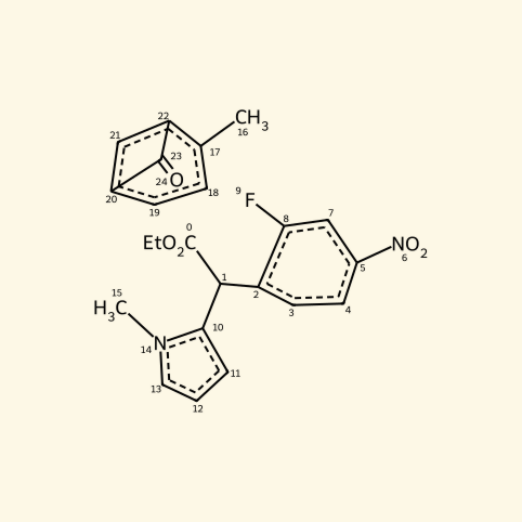 CCOC(=O)C(c1ccc([N+](=O)[O-])cc1F)c1cccn1C.Cc1ccc2cc1C2=O